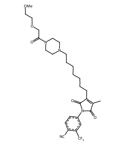 COCCOCC(=O)N1CCN(CCCCCCCC2=C(C)C(=O)N(c3ccc(C#N)c(C(F)(F)F)c3)C2=O)CC1